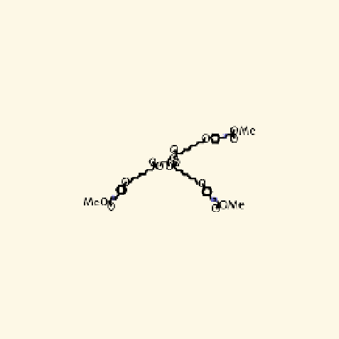 COC(=O)/C=C/c1ccc(OCCCCCCCC(=O)OCC(COC(=O)CCCCCCCOc2ccc(/C=C/C(=O)OC)cc2)OC(=O)CCCCCCCOc2ccc(/C=C/C(=O)OC)cc2)cc1